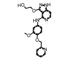 COc1cc(Nc2nccc3[nH]nc(OCCO)c23)ccc1OCc1ccccn1